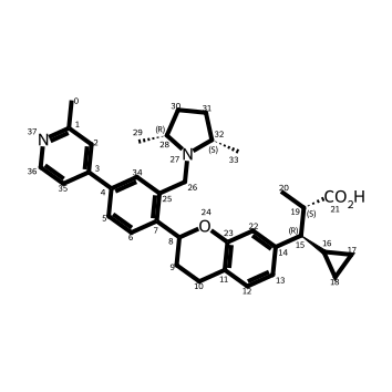 Cc1cc(-c2ccc(C3CCc4ccc([C@H](C5CC5)[C@H](C)C(=O)O)cc4O3)c(CN3[C@H](C)CC[C@@H]3C)c2)ccn1